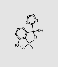 CCC(O)(c1nccs1)c1cccc(O)c1[Si](C)(C)C(C)(C)C